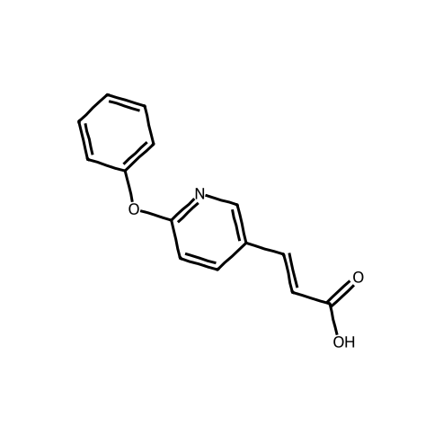 O=C(O)/C=C/c1ccc(Oc2ccccc2)nc1